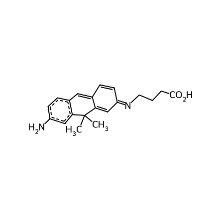 CC1(C)C2=C/C(=N/CCCC(=O)O)C=CC2=Cc2ccc(N)cc21